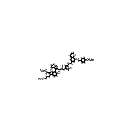 COC(=O)c1c(CCCOC(C)=O)c2ccc(Cl)c(-c3c(CNCc4cc(CCc5cc(OCc6ccc(OC)cc6)c6ncccc6c5)n(C)n4)nn4c3CCC4)c2n1C